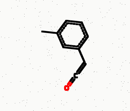 Cc1cccc(C=C=O)c1